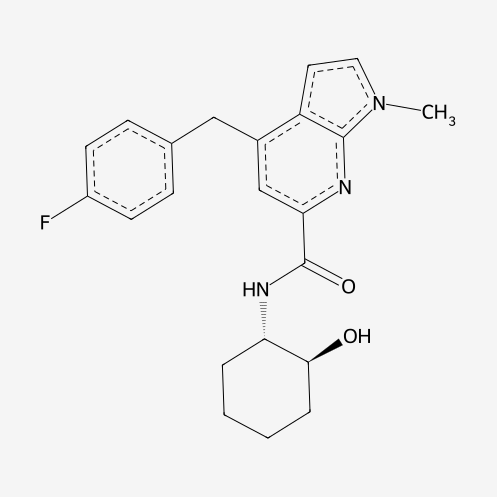 Cn1ccc2c(Cc3ccc(F)cc3)cc(C(=O)N[C@H]3CCCC[C@@H]3O)nc21